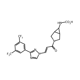 O=C(O)NC1C2CN(C(=O)C=Cn3cnc(-c4cc(C(F)(F)F)cc(C(F)(F)F)c4)n3)CC21